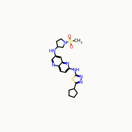 CS(=O)(=O)N1CCC(Nc2cnc3ccc(Nc4nnc(C5CCCC5)s4)nc3c2)C1